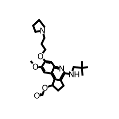 COc1cc2c3c(c(NCC(C)(C)C)nc2cc1OCCCN1CCCC1)CCC3OC=O